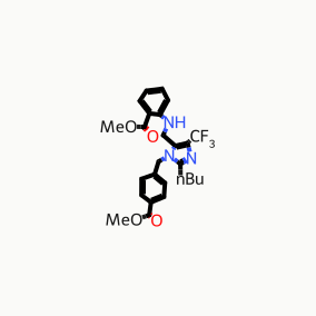 CCCCc1nc(C(F)(F)F)c(CNc2ccccc2C(=O)OC)n1Cc1ccc(C(=O)OC)cc1